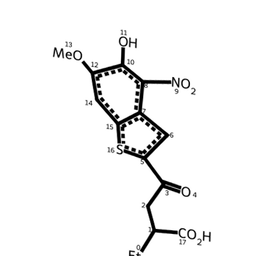 CCC(CC(=O)c1cc2c([N+](=O)[O-])c(O)c(OC)cc2s1)C(=O)O